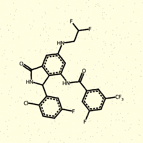 O=C(Nc1cc(NCC(F)F)cc2c1C(c1cc(F)ccc1Cl)NC2=O)c1cc(F)cc(C(F)(F)F)c1